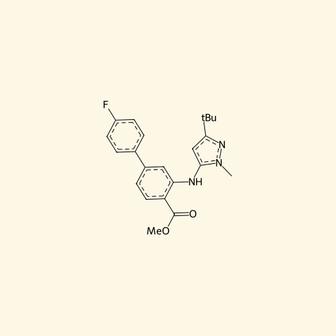 COC(=O)c1ccc(-c2ccc(F)cc2)cc1Nc1cc(C(C)(C)C)nn1C